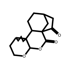 O=C1CC2CCC3C1(C2)C(=O)OC1OCCC2CCCC213